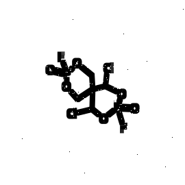 O=P1(F)OCC2(CO1)C(Cl)OP(=O)(F)OC2Cl